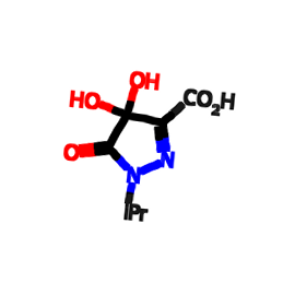 CC(C)N1N=C(C(=O)O)C(O)(O)C1=O